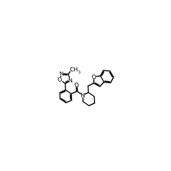 Cc1noc(-c2ccccc2C(=O)N2CCCCC2Cc2cc3ccccc3o2)n1